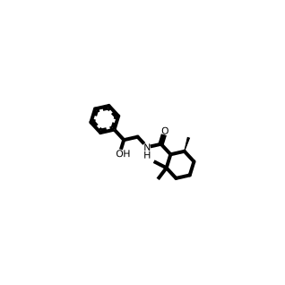 C[C@H]1CCCC(C)(C)C1C(=O)NCC(O)c1ccccc1